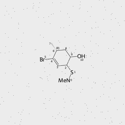 CNSC1C=C(Br)[C@H](C)CC1O